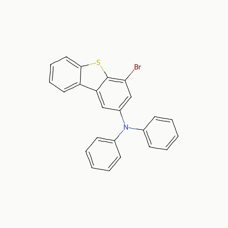 Brc1cc(N(c2ccccc2)c2ccccc2)cc2c1sc1ccccc12